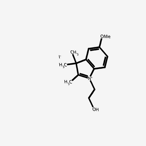 COc1ccc2c(c1)C(C)(C)C(C)=[N+]2CCO.[I-]